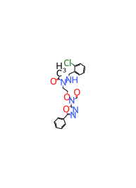 CC(=O)N(CCON(C=O)c1nnc(-c2ccccc2)o1)NCc1ccccc1Cl